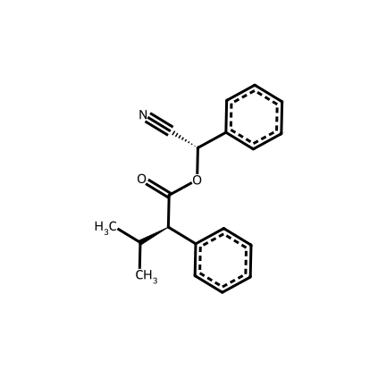 CC(C)[C@@H](C(=O)O[C@H](C#N)c1ccccc1)c1ccccc1